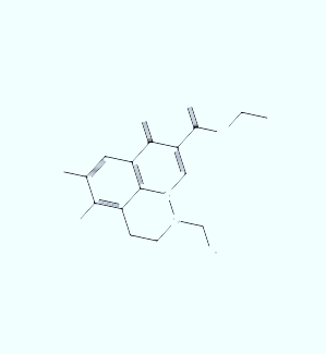 CCOC(=O)c1cn2c3c(c(F)c(F)cc3c1=O)CCN2CO